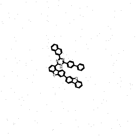 c1ccc(-c2ccc(C3=NC(c4ccc5ccccc5c4)=NC(c4cccc5oc6cc(-c7ccc8c(c7)oc7ccccc78)ccc6c45)N3)cc2)cc1